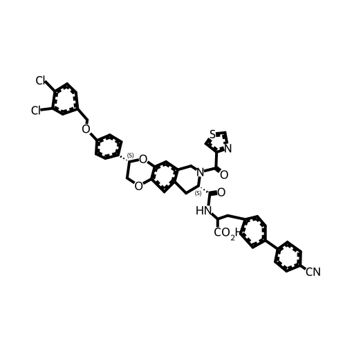 N#Cc1ccc(-c2ccc(CC(NC(=O)[C@@H]3Cc4cc5c(cc4CN3C(=O)c3cscn3)O[C@@H](c3ccc(OCc4ccc(Cl)c(Cl)c4)cc3)CO5)C(=O)O)cc2)cc1